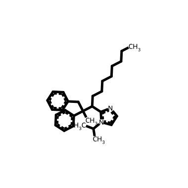 CCCCCCCCC(c1nccn1C(C)C)C(C)(Cc1ccccc1)c1ccccc1